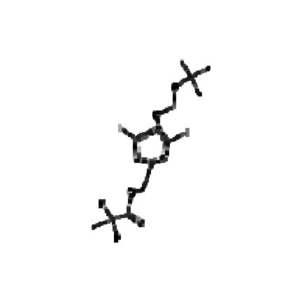 CC(C)(C)OCOc1c(I)cc(COC(=O)C(C)(F)F)cc1I